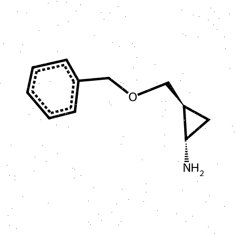 N[C@H]1C[C@@H]1COCc1ccccc1